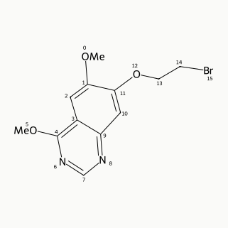 COc1cc2c(OC)ncnc2cc1OCCBr